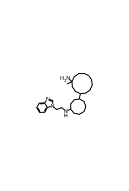 CC1(N)CCCCCCCCC(C2CCCCCC(NCCn3cnc4ccccc43)CC2)CC1